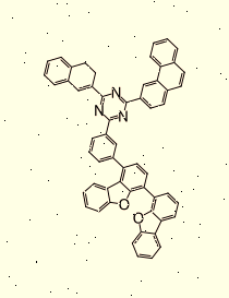 C1=C(c2nc(-c3cccc(-c4ccc(-c5cccc6c5oc5ccccc56)c5oc6ccccc6c45)c3)nc(-c3ccc4ccc5ccccc5c4c3)n2)CCc2ccccc21